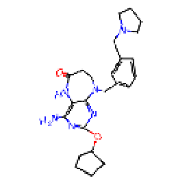 Nc1nc(OC2CCCC2)nc2c1NC(=O)CCN2Cc1cccc(CN2CCCC2)c1